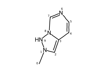 CN1C=C2C=CN=CN2N1